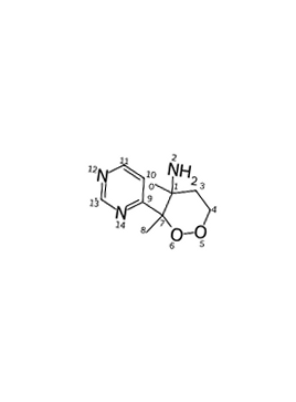 CC1(N)CCOOC1(C)c1ccn[c]n1